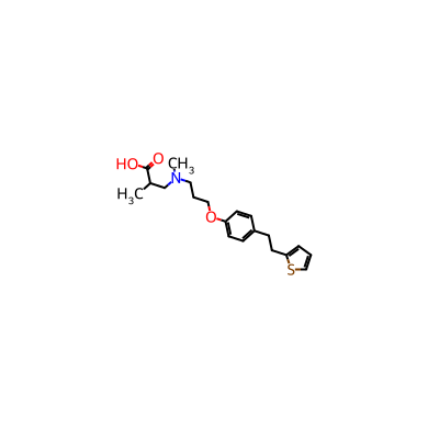 CC(CN(C)CCCOc1ccc(CCc2cccs2)cc1)C(=O)O